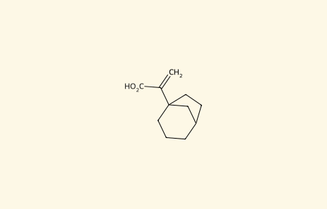 C=C(C(=O)O)C12CCCC(CC1)C2